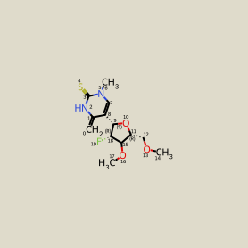 C=C1NC(=S)N(C)C=C1[C@@H]1O[C@H](COC)C(OC)[C@@H]1F